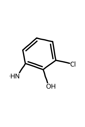 [NH]c1cccc(Cl)c1O